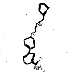 NC(=O)c1cccc(-c2ccc(OCCNCCc3ccccc3)cc2)c1